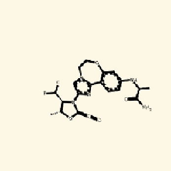 C[C@H](Nc1ccc2c(c1)OCCn1cc(N3C(=C=O)O[C@H](C)[C@H]3C(F)F)nc1-2)C(N)=O